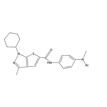 CC(=O)N(C)c1ccc(NC(=O)c2cc3c(C)nn(C4CCCCC4)c3s2)cc1